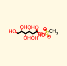 CS(=O)(=O)O.O=C(O)[C@H](O)[C@@H](O)[C@H](O)[C@H](O)CO